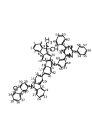 CC1(C)c2ccccc2-c2cc3c4cc(-c5ccc6c(c5)c5ccccc5n6-c5ccc6oc7ccccc7c6c5)ccc4n(-c4cccc(-c5nc(-c6ccccc6)nc(-c6ccccc6)n5)c4)c3cc21